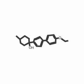 CCOc1ccc(-c2ccc(C3(O)CCC(C)CC3)cc2)cc1